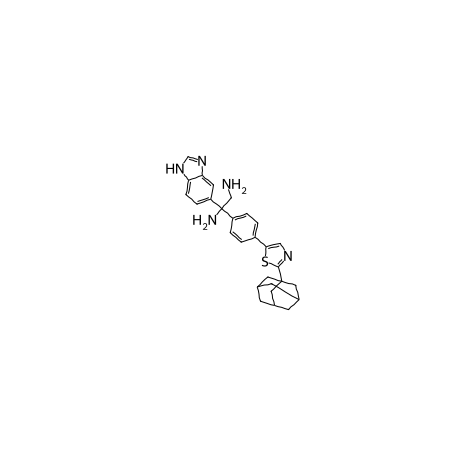 NCC(N)(c1ccc(-c2cnc(C34CC5CC(CC(C5)C3)C4)s2)cc1)c1ccc2[nH]cnc2c1